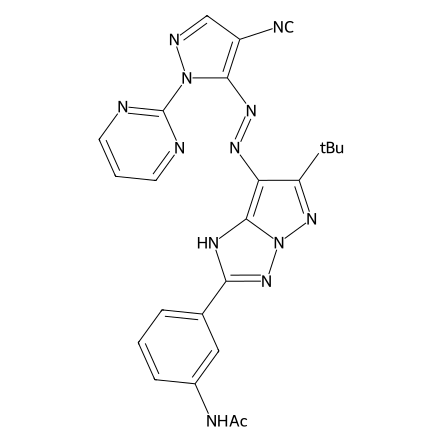 [C-]#[N+]c1cnn(-c2ncccn2)c1/N=N/c1c(C(C)(C)C)nn2nc(-c3cccc(NC(C)=O)c3)[nH]c12